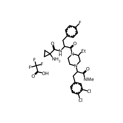 CCC1CN(C(Cc2ccc(Cl)c(Cl)c2)C(=O)NC)CCN1C(=O)C(Cc1ccc(F)cc1)NC(=O)C1(N)CC1.O=C(O)C(F)(F)F